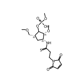 COC[C@H]1C[C@@H](NC(=S)CCN2C(=O)C=CC2=O)[C@@H](OC)C1OP(=O)(O)OC